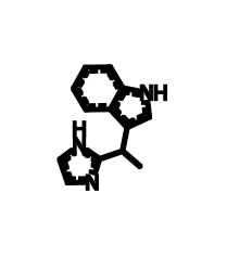 CC(c1ncc[nH]1)c1c[nH]c2ccccc12